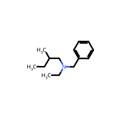 CCC(C)CN(CC)Cc1ccccc1